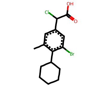 Cc1cc(C(Cl)C(=O)O)cc(Br)c1C1CCCCC1